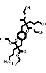 CCCCC(Cc1ccc(CC(CCCC)(C(=O)OCC)C(=O)OCC)cc1)(C(=O)OCC)C(=O)OCC